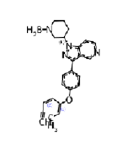 BN1CCC[C@@H](n2nc(-c3ccc(OC(/C=C\C#C)=C/C)cc3)c3cnccc32)C1